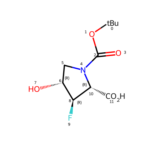 CC(C)(C)OC(=O)N1C[C@@H](O)[C@H](F)[C@H]1C(=O)O